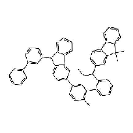 CCC(c1ccc2c(c1)C(C)(C)c1ccccc1-2)c1ccccc1-c1cc(-c2ccc3c(c2)c2ccccc2n3-c2cccc(-c3ccccc3)c2)ccc1C